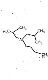 CCC[CH2][Al]([CH2]C(C)C)[CH2]C(C)C.[H-].[Li+]